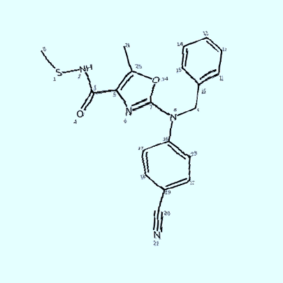 CSNC(=O)c1nc(N(Cc2ccccc2)c2ccc(C#N)cc2)oc1C